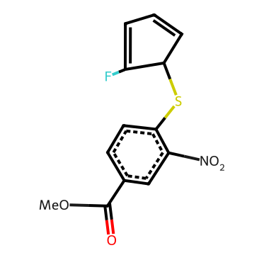 COC(=O)c1ccc(SC2C=CC=C2F)c([N+](=O)[O-])c1